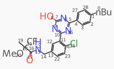 CCCCc1ccc(-c2nc(O)nc(-c3cc(CNC(=O)[C@@](C)(OC)C(F)(F)F)ccc3Cl)n2)cc1